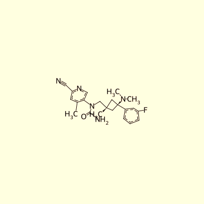 Cc1cc(C#N)ncc1N(C[C@]1(C)C[C@@](c2cccc(F)c2)(N(C)C)C1)C(N)=O